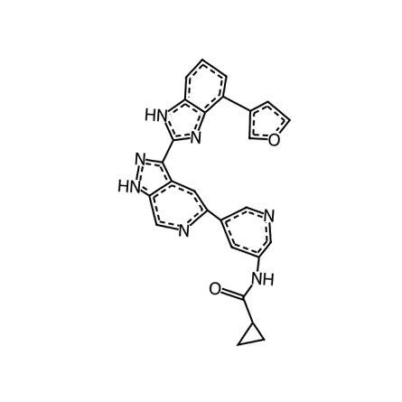 O=C(Nc1cncc(-c2cc3c(-c4nc5c(-c6ccoc6)cccc5[nH]4)n[nH]c3cn2)c1)C1CC1